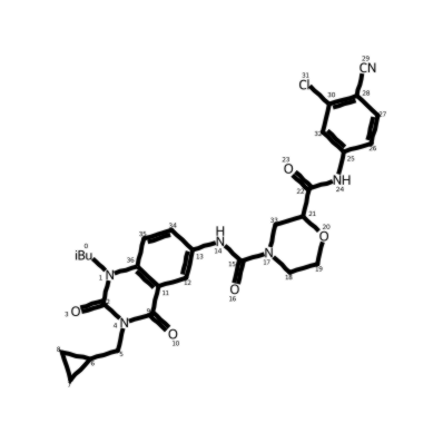 CCC(C)n1c(=O)n(CC2CC2)c(=O)c2cc(NC(=O)N3CCOC(C(=O)Nc4ccc(C#N)c(Cl)c4)C3)ccc21